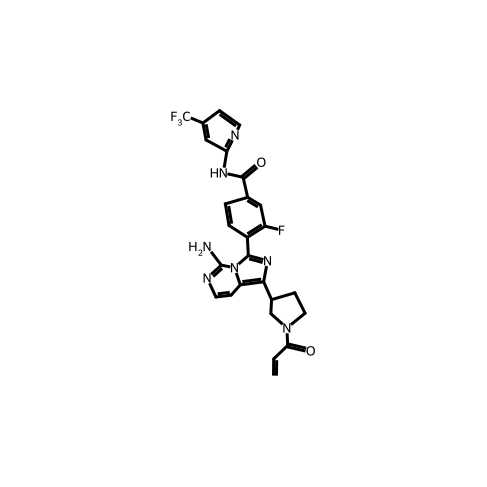 C=CC(=O)N1CCC(c2nc(-c3ccc(C(=O)Nc4cc(C(F)(F)F)ccn4)cc3F)n3c(N)nccc23)C1